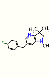 CN1CC(C)(C)c2ncc(CC3=CCC(F)C=C3)cc21